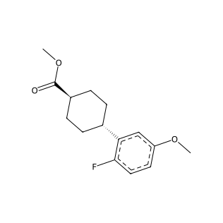 COc1ccc(F)c([C@H]2CC[C@H](C(=O)OC)CC2)c1